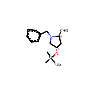 CC(C)(C)[Si](C)(C)O[C@H]1C[C@H](C=O)N(Cc2ccccc2)C1